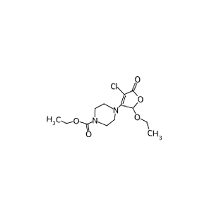 CCOC(=O)N1CCN(C2=C(Cl)C(=O)OC2OCC)CC1